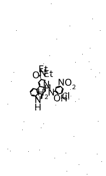 CCN(CC)C(=O)[C@@H]1C=C2c3cccc4[nH]cc(c34)C[C@H]2N(C)C1.Nc1cc([N+](=O)[O-])cc(Cl)c1O